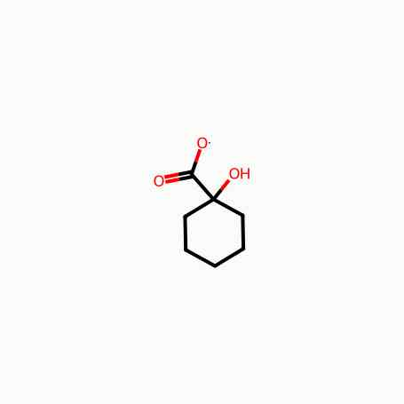 [O]C(=O)C1(O)CCCCC1